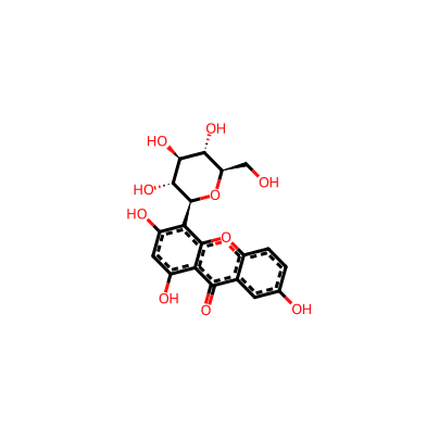 O=c1c2cc(O)ccc2oc2c([C@@H]3O[C@H](CO)[C@@H](O)[C@H](O)[C@H]3O)c(O)cc(O)c12